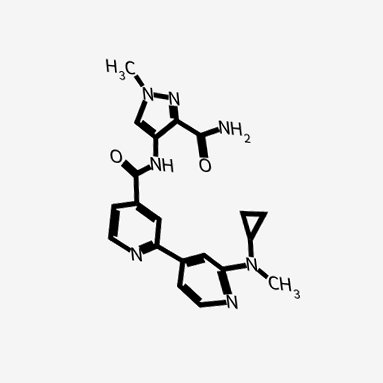 CN(c1cc(-c2cc(C(=O)Nc3cn(C)nc3C(N)=O)ccn2)ccn1)C1CC1